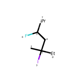 CCC(C)(I)CC(F)C(C)C